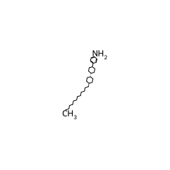 CCCCCCCCCCCCC[C@H]1CC[C@H](C2CCC(c3ccc(N)cc3)CC2)CC1